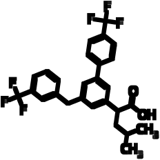 CC(C)CC(C(=O)O)c1cc(Cc2cccc(C(F)(F)F)c2)cc(-c2ccc(C(F)(F)F)cc2)c1